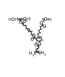 CCCCCCCCCCCOC(=O)CCCCCN1CC[C@@H](OC(=O)CCN(C)C)C[C@H]1C(=O)OCCCCCCCC(=O)OC(CCCCCCCC)CCCCCCCC